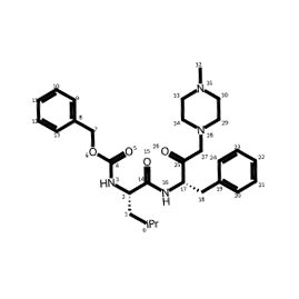 CC(C)C[C@H](NC(=O)OCc1ccccc1)C(=O)N[C@@H](Cc1ccccc1)C(=O)CN1CCN(C)CC1